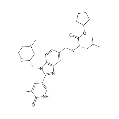 Cc1cc(-c2nc3cc(CN[C@@H](CC(C)C)C(=O)OC4CCCC4)ccc3n2C[C@H]2CN(C)CCO2)c[nH]c1=O